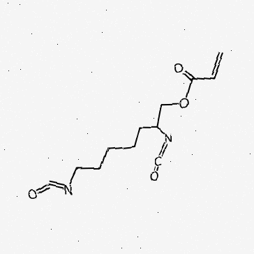 C=CC(=O)OCC(CCCCCN=C=O)N=C=O